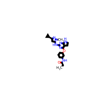 C=CC(=O)Nc1cccc(Oc2nc(Nc3cc(C4CC4)nn3C)nc3[nH]ccc23)c1